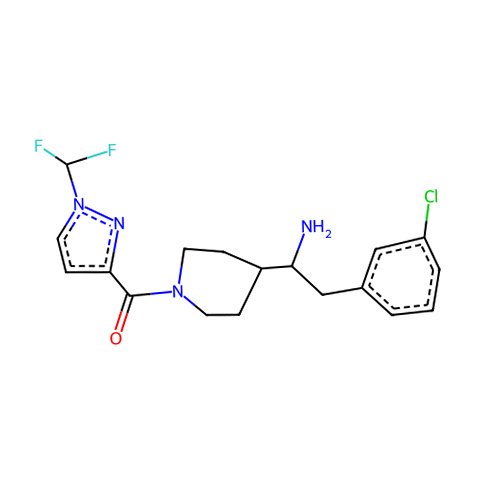 NC(Cc1cccc(Cl)c1)C1CCN(C(=O)c2ccn(C(F)F)n2)CC1